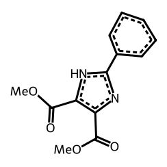 COC(=O)c1nc(-c2ccccc2)[nH]c1C(=O)OC